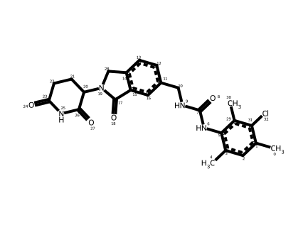 Cc1cc(C)c(NC(=O)NCc2ccc3c(c2)C(=O)N(C2CCC(=O)NC2=O)C3)c(C)c1Cl